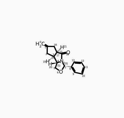 C=C1C[C@@H]2[C@H]3CO[C@@H](c4ccccc4)N3C(=O)[C@@H]2C1